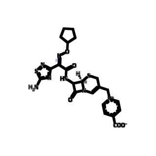 Nc1nc(/C(=N/OC2CCCC2)C(=O)NC2C(=O)N3C=C(C[n+]4ccc(C(=O)[O-])cc4)CS[C@H]23)ns1